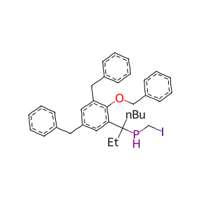 CCCCC(CC)(PCI)c1cc(Cc2ccccc2)cc(Cc2ccccc2)c1OCc1ccccc1